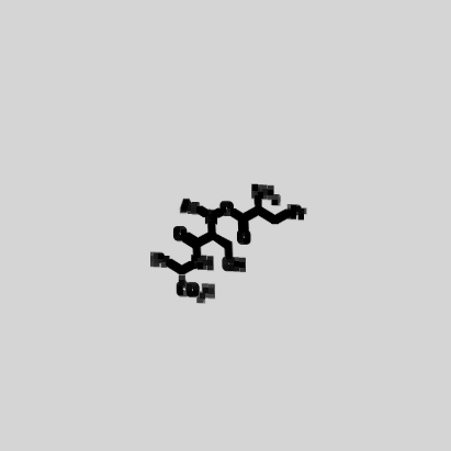 CC(=O)N(OC(=O)[C@@H](N)CC(C)C)[C@@H](CO)C(=O)N[C@H](C(=O)O)C(C)C